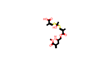 C=C(CC(O)COC(=O)C(C)=CSC(C)(O)SC=C(C)C(=O)O)C(=O)OC